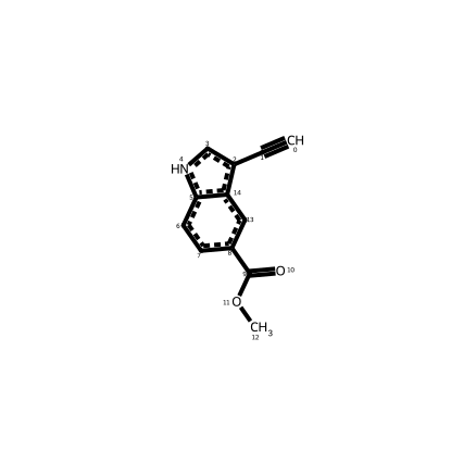 C#Cc1c[nH]c2ccc(C(=O)OC)cc12